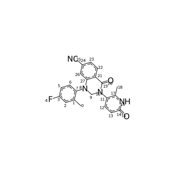 Cc1cc(F)ccc1N1CN(c2ccc(=O)[nH]c2C)C(=O)c2ccc(C#N)cc21